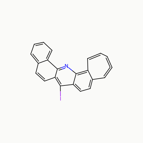 Ic1c2ccc3c(c2nc2c1ccc1ccccc12)C=CC=C=C3